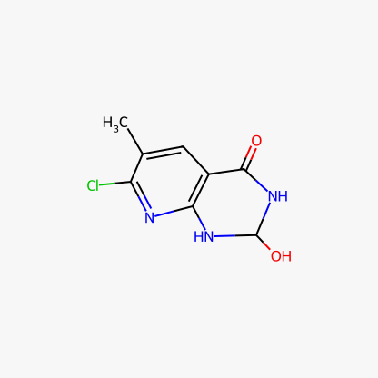 Cc1cc2c(nc1Cl)NC(O)NC2=O